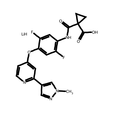 Cn1cc(-c2cc(Oc3cc(F)c(NC(=O)C4(C(=O)O)CC4)cc3F)ccn2)cn1.[LiH]